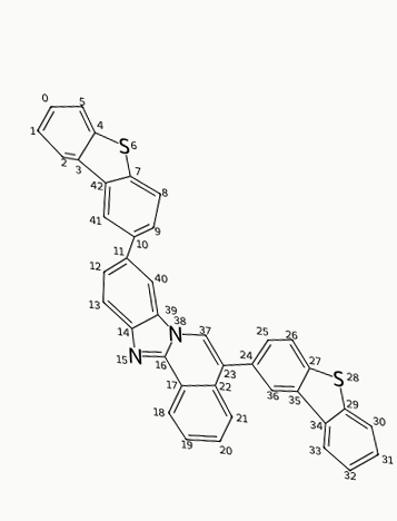 c1ccc2c(c1)sc1ccc(-c3ccc4nc5c6ccccc6c(-c6ccc7sc8ccccc8c7c6)cn5c4c3)cc12